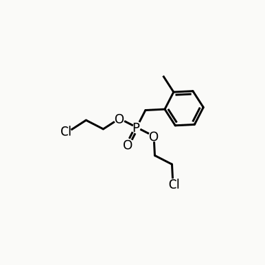 Cc1ccccc1CP(=O)(OCCCl)OCCCl